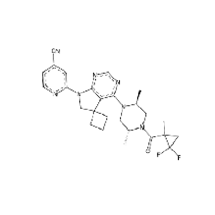 C[C@@H]1CN(c2ncnc3c2C2(CCC2)CN3c2cc(C#N)ccn2)[C@@H](C)CN1C(=O)C1(C)CC1(F)F